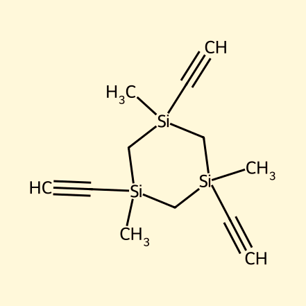 C#C[Si]1(C)C[Si](C)(C#C)C[Si](C)(C#C)C1